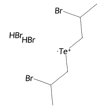 Br.Br.CC(Br)C[Te+]CC(C)Br